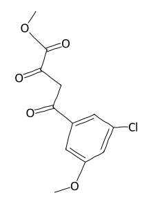 COC(=O)C(=O)CC(=O)c1cc(Cl)cc(OC)c1